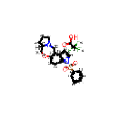 O=C(O)C(F)(F)F.O=S(=O)(c1ccccc1)n1ccc2c3c(ccc21)OC[C@@H]1CCCN1C3